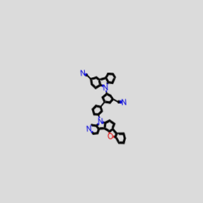 N#Cc1cc(-c2cccc(-n3c4cnccc4c4c5oc6ccccc6c5ccc43)c2)cc(-n2c3ccccc3c3cc(C#N)ccc32)c1